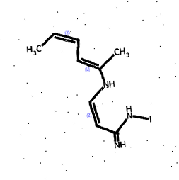 C/C=C\C=C(/C)N/C=C\C(=N)NI